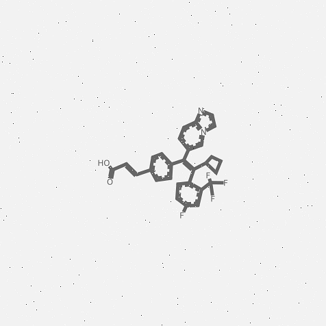 O=C(O)C=Cc1ccc(C(=C(c2ccc(F)cc2C(F)(F)F)C2CCC2)c2ccc3nccn3c2)cc1